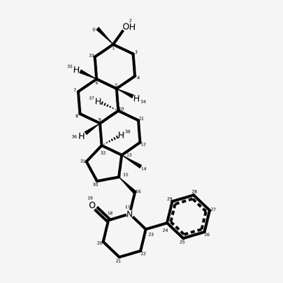 C[C@@]1(O)CC[C@H]2[C@H](CC[C@@H]3[C@@H]2CC[C@]2(C)[C@@H](CN4C(=O)CCCC4c4ccccc4)CC[C@@H]32)C1